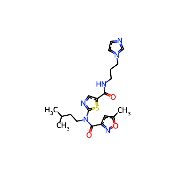 Cc1cc(C(=O)N(CCC(C)C)c2ncc(C(=O)NCCCn3ccnc3)s2)no1